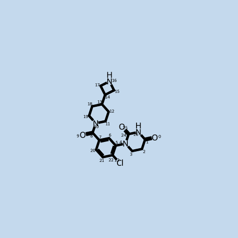 O=C1CCN(c2cc(C(=O)N3CCC(C4CNC4)CC3)ccc2Cl)C(=O)N1